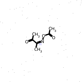 CC(=O)O/N=C(/C)C(C)=O